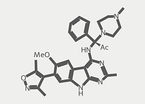 COc1cc2c(cc1-c1c(C)noc1C)[nH]c1nc(C)nc(N[C@](C(C)=O)(c3ccccc3)N3CCN(C)CC3)c12